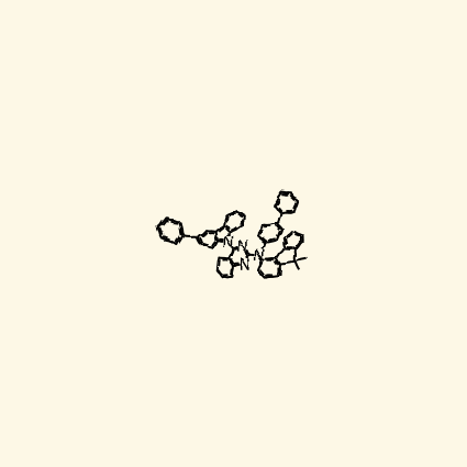 CC1(C)c2ccccc2-c2c(N(c3ccc(-c4ccccc4)cc3)c3nc(-n4c5ccccc5c5cc(-c6ccccc6)ccc54)c4ccccc4n3)cccc21